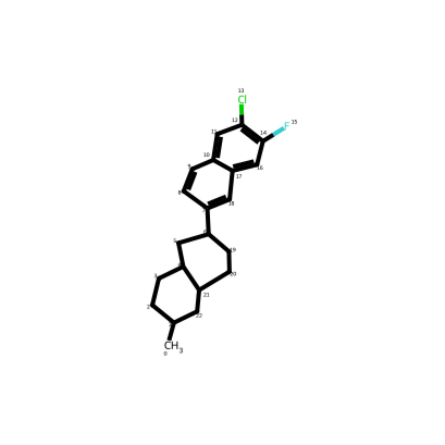 CC1CCC2CC(c3ccc4cc(Cl)c(F)cc4c3)CCC2C1